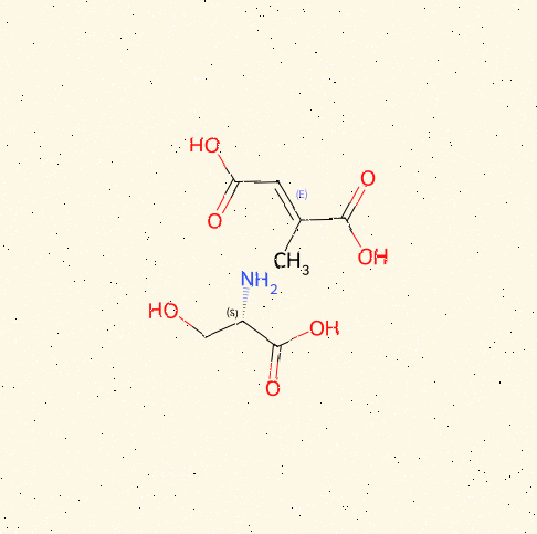 C/C(=C\C(=O)O)C(=O)O.N[C@@H](CO)C(=O)O